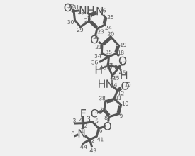 CN1C(C)(C)CC(Oc2ccc(C(=O)N[C@@H]3[C@H]4OC5=CC=C(Oc6ccnc7c6CCC(=O)N7)CC5(C)[C@@H]34)cc2C(F)(F)F)CC1(C)C